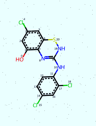 Oc1cc(Cl)cc2c1N=C(Nc1ccc(Cl)cc1Cl)NS2